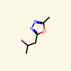 Cc1nnc(CC(C)I)o1